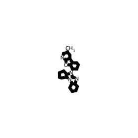 Cc1cnc2oc3c(-n4c5ccccc5n5c6ccccc6nc45)cccc3c2c1